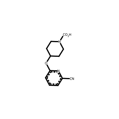 N#Cc1cccc(OC2CCN(C(=O)O)CC2)n1